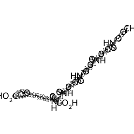 O=[C]COCCOCCNC(=O)COCCOCCNC(=O)COCCOCCNC(=O)COCCOCCNC(=O)CC[C@H](NC(=O)CCCCCCCCCOc1ccc(C(=O)O)cc1)C(=O)O